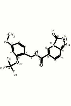 COc1ccc(CNC(=O)c2ccc3n[nH]c(=O)n3c2)c(OC(F)(F)F)c1